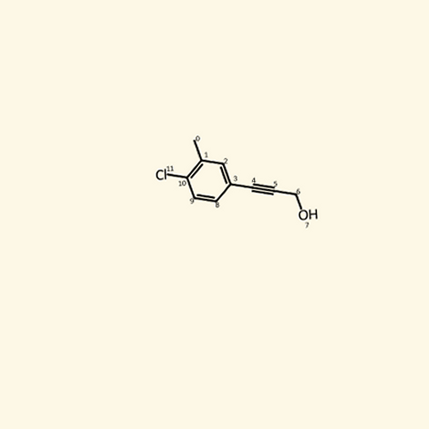 Cc1cc(C#CCO)ccc1Cl